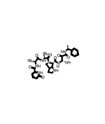 CCC[C@H](NC(=O)[C@@H]1C2NCCC2CN1C(=O)[C@@H](NC(=O)[C@@H](NC(=O)c1cccc(=O)[nH]1)C(C)(C)C)C(C)(C)C)C(=O)C(=O)N[C@@H](C)c1ccccc1